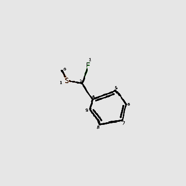 CSC(F)c1ccccc1